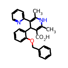 CC1=C(C(=O)O)C(c2ccccc2OCc2ccccc2)C(c2ccccn2)=C(C)N1